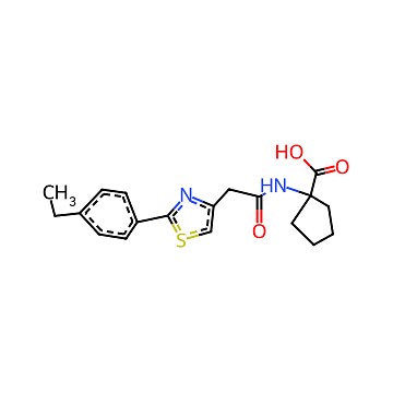 CCc1ccc(-c2nc(CC(=O)NC3(C(=O)O)CCCC3)cs2)cc1